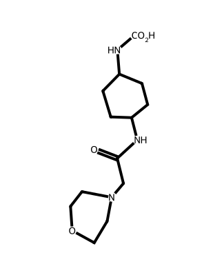 O=C(O)NC1CCC(NC(=O)CN2CCOCC2)CC1